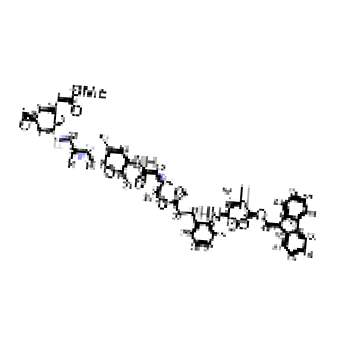 COC(=O)C[C@@H]1C[C@@]2(CO2)C[C@@H](/C=C/C(C)=C/C[C@@H]2O[C@H](C)[C@H](NC(=O)/C=C\[C@H](C)OC(=O)CCc3ccccc3NC(=O)[C@H](C)NC(=O)OCC3c4ccccc4-c4ccccc43)C[C@@H]2C)O1